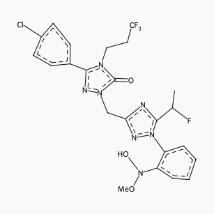 CON(O)c1ccccc1-n1nc(Cn2nc(-c3ccc(Cl)cc3)n(CCC(F)(F)F)c2=O)nc1C(C)F